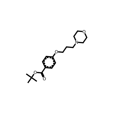 CC(C)(C)OC(=O)c1ccc(OCCCN2CCOCC2)cc1